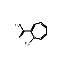 CN1C=CC=C[C]=C1C(N)=O